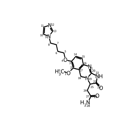 COc1c(OCCCCn2ccnc2)ccc2c1CN1C(=N2)NC(=O)C1CC(N)=O